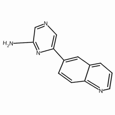 Nc1cncc(-c2ccc3ncccc3c2)n1